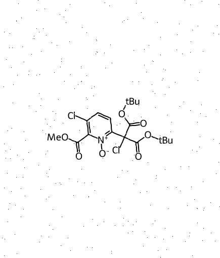 COC(=O)c1c(Cl)ccc(C(Cl)(C(=O)OC(C)(C)C)C(=O)OC(C)(C)C)[n+]1[O-]